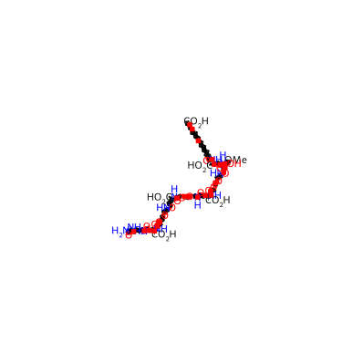 COC(O)[C@H](CCC(=O)NCCOCCOCC(=O)N[C@@H](CCC(=O)NCCOCCOCC(=O)N[C@@H](CCC(=O)NCCOCCOCC(=O)N[C@@H](CCC(=O)NCCCC[C@H](N)C(N)=O)C(=O)O)C(=O)O)C(=O)O)NC(=O)CC[C@H](NC(=O)CCCCCCCCCCCCCCCCC(=O)O)C(=O)O